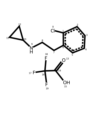 Clc1ccccc1CCNC1CC1.O=C(O)C(F)(F)F